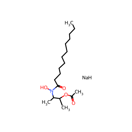 CCCCCCCCCCCC(=O)N(O)C(C)C(C)OC(C)=O.[NaH]